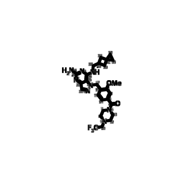 COc1cc(C(=O)N2CCN(CC(F)(F)F)CC2)ccc1Cn1ncc2nc(N)nc(NCC3CC4(CC4)C3)c21